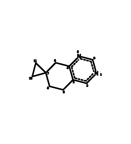 c1ncc2c(n1)CC1(CC2)CC1